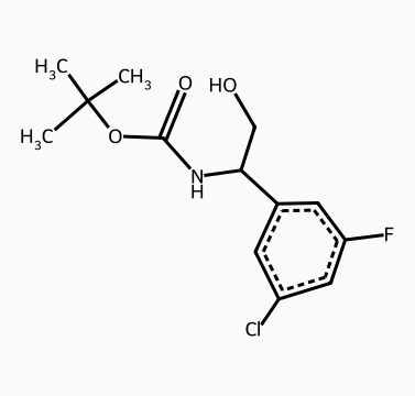 CC(C)(C)OC(=O)NC(CO)c1cc(F)cc(Cl)c1